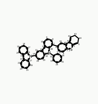 C1=c2sc3ccc(-c4cccc5c6cc(-n7c8ccccc8c8ccccc87)ccc6n(-c6ccccc6)c45)cc3c2=CCC1